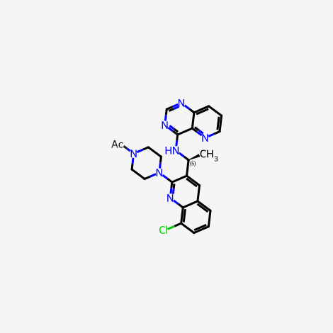 CC(=O)N1CCN(c2nc3c(Cl)cccc3cc2[C@H](C)Nc2ncnc3cccnc23)CC1